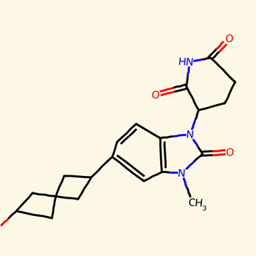 Cn1c(=O)n(C2CCC(=O)NC2=O)c2ccc(C3CC4(CC(O)C4)C3)cc21